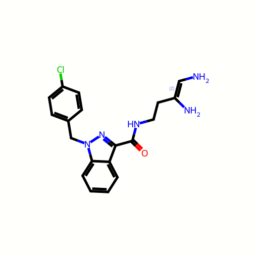 N/C=C(\N)CCNC(=O)c1nn(Cc2ccc(Cl)cc2)c2ccccc12